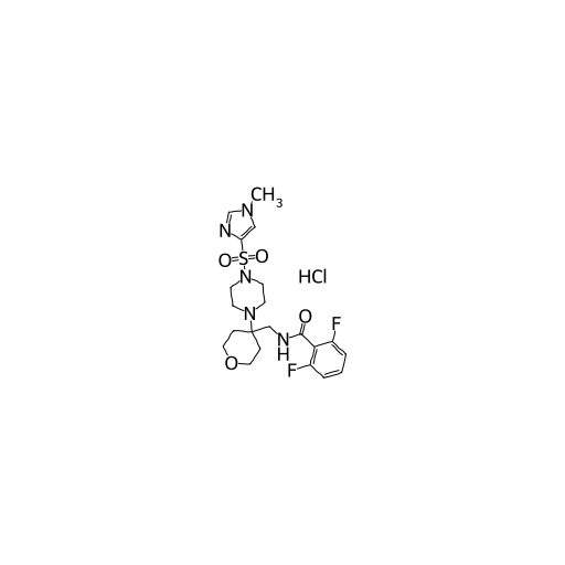 Cl.Cn1cnc(S(=O)(=O)N2CCN(C3(CNC(=O)c4c(F)cccc4F)CCOCC3)CC2)c1